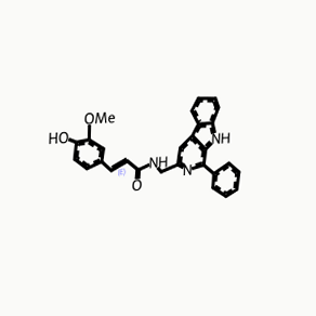 COc1cc(/C=C/C(=O)NCc2cc3c([nH]c4ccccc43)c(-c3ccccc3)n2)ccc1O